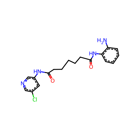 Nc1ccccc1NC(=O)CCCCCC(=O)Nc1cncc(Cl)c1